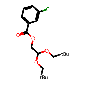 CC(C)(C)COC(COC(=O)c1cccc(Cl)c1)OCC(C)(C)C